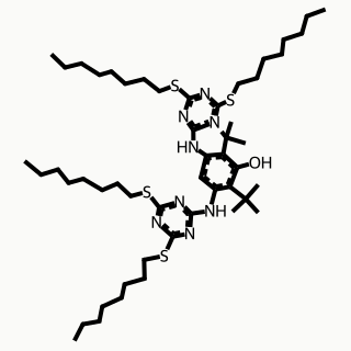 CCCCCCCCSc1nc(Nc2cc(Nc3nc(SCCCCCCCC)nc(SCCCCCCCC)n3)c(C(C)(C)C)c(O)c2C(C)(C)C)nc(SCCCCCCCC)n1